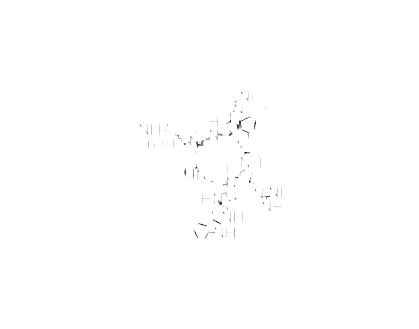 CCCC[C@H](NC(C)=O)C(=O)N[C@H]1CCC(=O)NCC[C@@H](C(=O)N[C@@H](Cc2c[nH]c3ccccc23)C(N)=O)NC(=O)[C@H](CCCNC(=N)N)NC(=O)C(Cc2ccccc2)NC(=O)[C@H](CCCNC(N)=O)NC1=O